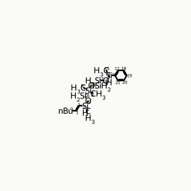 CCCCC=C[SiH](C)O[SiH2][Si](C)(C)O[SiH2][SiH2]O[SiH](C)c1ccccc1